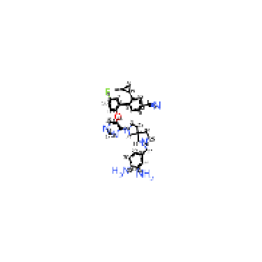 N#Cc1ccc(-c2cc(F)ccc2Oc2cncnc2N2CCC3(CCN(Cc4ccc(N)c(N)c4)C3)C2)c(C2CC2)c1